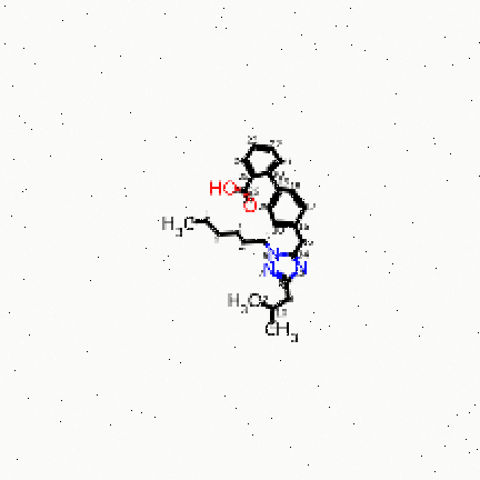 CCCCCCn1nc(CC(C)C)nc1Cc1ccc(-c2ccccc2C(=O)O)cc1